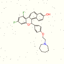 Oc1ccc2c3c(ccc2c1)-c1c(F)cc(F)cc1OC3c1ccc(OCCN2CCCCCC2)cc1